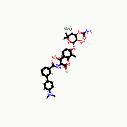 CO[C@@H]1[C@@H](OC(N)=O)[C@@H](O)[C@H](Oc2ccc3c(O)c(NC(=O)c4cccc(-c5ccc(N(C)C)cc5)c4)c(=O)oc3c2C)OC1(C)C